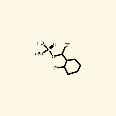 CCCCP(=O)(O)OC(C1CCCCC1F)C(F)(F)F